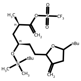 C=C1CC(CCCC)OC1CC[C@H](C[C@@H](C)C(=C)OS(=O)(=O)C(F)(F)F)O[Si](C)(C)C(C)(C)C